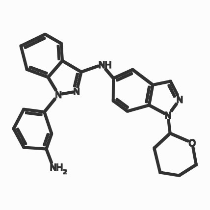 Nc1cccc(-n2nc(Nc3ccc4c(cnn4C4CCCCO4)c3)c3ccccc32)c1